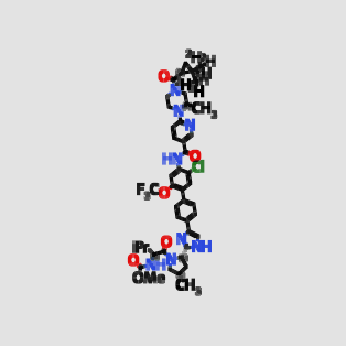 [2H]C([2H])([2H])C1(C([2H])([2H])[2H])C[C@@H]1C(=O)N1CCN(c2ccc(C(=O)Nc3cc(OC(F)(F)F)c(-c4ccc(-c5c[nH]c([C@@H]6C[C@H](C)CN6C(=O)[C@@H](NC(=O)OC)C(C)C)n5)cc4)cc3Cl)cn2)[C@H](C)C1